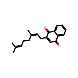 CC(C)=CCCC(C)=CCC1=CC(=O)c2ccccc2C1=O